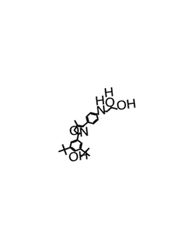 Cc1oc(-c2cc(C(C)(C)C)c(O)c(C(C)(C)C)c2)nc1-c1ccc(NCC(O)CO)cc1